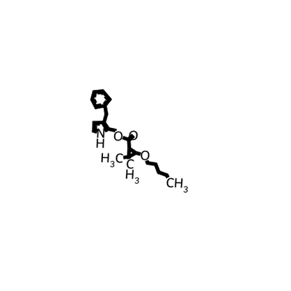 CCCCCOC1C(C(=O)OCc2[nH]ccc2Cc2ccccc2)C1(C)C